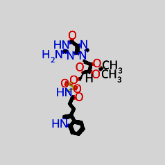 CC1(C)OC2[C@@H](O1)[C@@H](COS(=O)(=O)NC(=O)CCc1c[nH]c3ccccc13)O[C@H]2n1cnc2c(=O)[nH]c(N)nc21